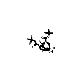 CC(C)(C)OC(=O)N1C[C@H]2CC3C[C@@H]1C([C@H]2O)N(C(=O)CC(F)(F)F)C3